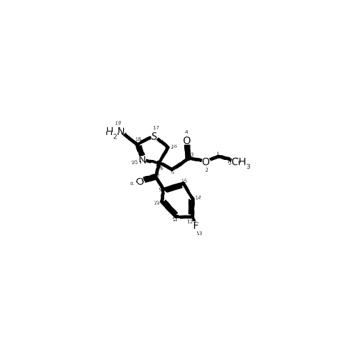 CCOC(=O)CC1(C(=O)c2ccc(F)cc2)CSC(N)=N1